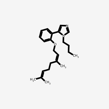 CCCCn1cncc1-c1ccccc1OCC=C(C)CCC=C(C)C